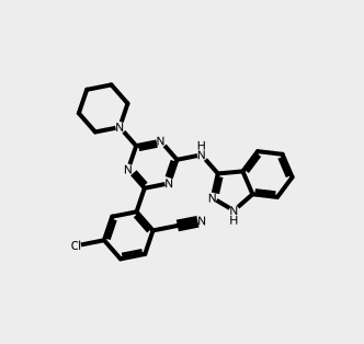 N#Cc1ccc(Cl)cc1-c1nc(Nc2n[nH]c3ccccc23)nc(N2CCCCC2)n1